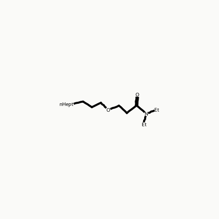 CCCCCCCCCCOCCC(=O)N(CC)CC